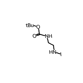 CC(C)(C)OC(=O)NCCNI